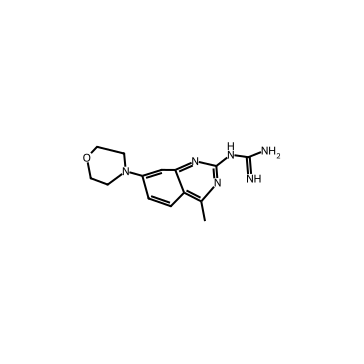 Cc1nc(NC(=N)N)nc2cc(N3CCOCC3)ccc12